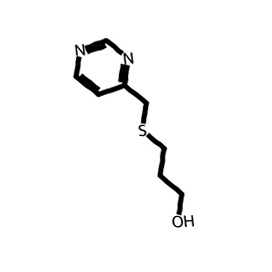 OCCCSCc1ccncn1